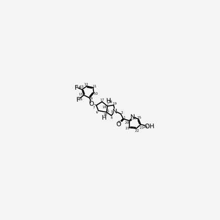 O=C(CN1C[C@H]2C[C@H](Oc3cccc(F)c3F)C[C@H]2C1)c1ccc(O)cn1